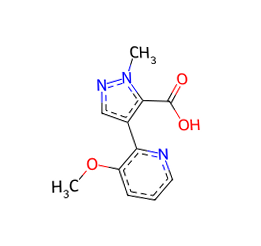 COc1cccnc1-c1cnn(C)c1C(=O)O